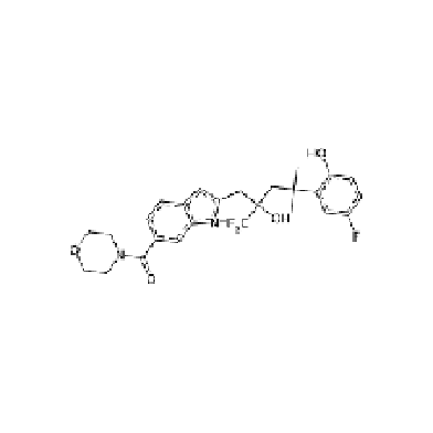 CC(C)(CC(O)(Cc1cc2ccc(C(=O)N3CCOCC3)cc2[nH]1)C(F)(F)F)c1cc(F)ccc1O